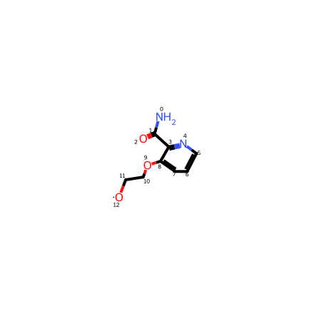 NC(=O)c1ncccc1OCC[O]